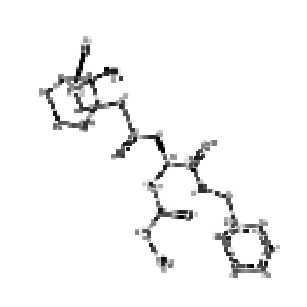 CC(C)(C)OC(=O)N[C@@H](CC(=O)OC1[C@@H](N)C2CCN1CC2)C(=O)OCc1ccccc1